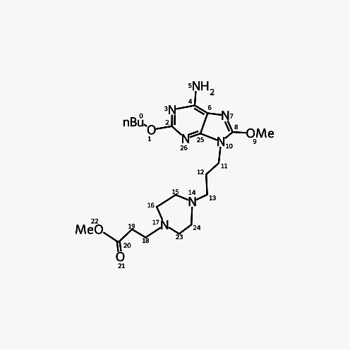 CCCCOc1nc(N)c2nc(OC)n(CCCN3CCN(CCC(=O)OC)CC3)c2n1